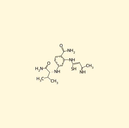 CC(=N)/C=C(\S)Nc1cc(N[C@@H](C(N)=O)C(C)C)ccc1C(N)=O